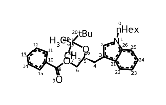 CCCCCCn1cc(C[C@@H](COC(=O)c2ccccc2)O[Si](C)(C)C(C)(C)C)c2ccccc21